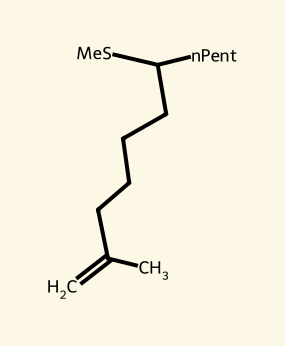 C=C(C)CCCCC(CCCCC)SC